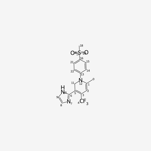 CC1=CC(C(F)(F)F)=C(c2ncc[nH]2)CN1c1ccc(S(C)(=O)=O)cc1